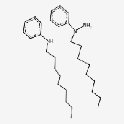 CCCCCCCCCN(N)c1ccccc1.CCCCCCCCCNc1ccccc1